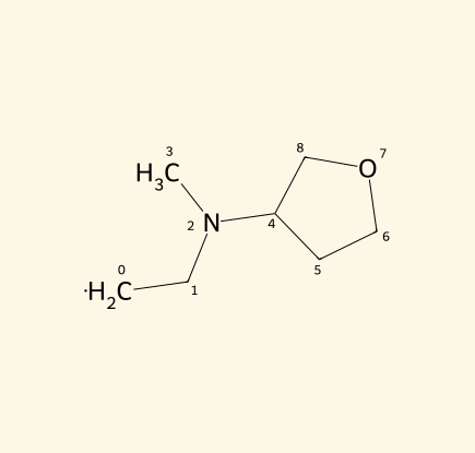 [CH2]CN(C)C1CCOC1